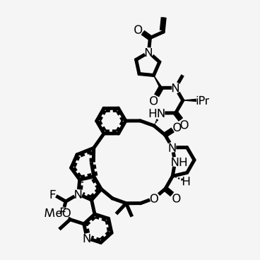 C=CC(=O)N1CC[C@H](C(=O)N(C)[C@H](C(=O)N[C@H]2Cc3cccc(c3)-c3ccc4c(c3)c(c(-c3cccnc3[C@H](C)OC)n4C(F)F)CC(C)(C)COC(=O)[C@@H]3CCCN(N3)C2=O)C(C)C)C1